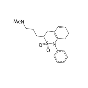 CNCCCC1CC2=C(CCC=C2)N(c2ccccc2)S1(=O)=O